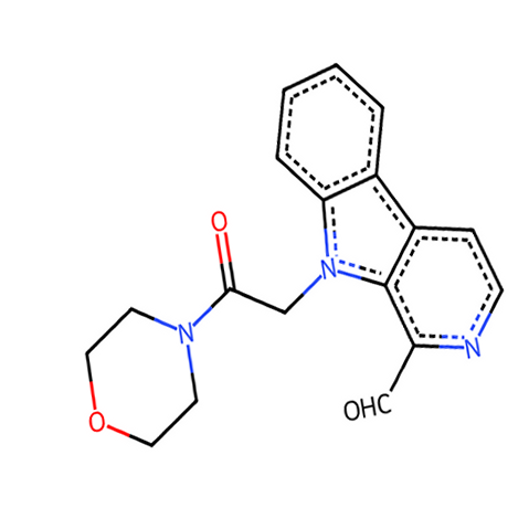 O=Cc1nccc2c3ccccc3n(CC(=O)N3CCOCC3)c12